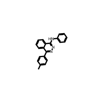 Cc1ccc(-c2nnc(Nc3ccccc3)c3ccccc23)cc1